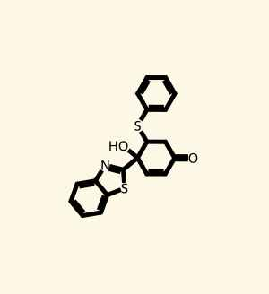 O=C1C=CC(O)(c2nc3ccccc3s2)C(Sc2ccccc2)C1